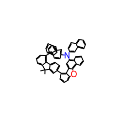 CC1(C)c2cc(-c3cccc4oc5c6ccccc6c(N(c6ccc7ccccc7c6)c6ccc7ccccc7c6)cc5c34)ccc2-c2c(-c3ccccc3)cccc21